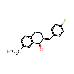 CCOC(=O)c1ccc2c(c1)C(=O)C(=Cc1ccc(F)cc1)CC2